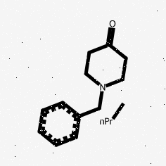 CCCC.O=C1CCN(Cc2ccccc2)CC1